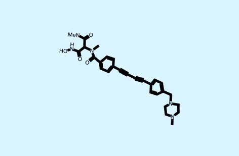 CNC(=O)C(C(=O)NO)N(C)C(=O)c1ccc(C#CC#Cc2ccc(CN3CCN(C)CC3)cc2)cc1